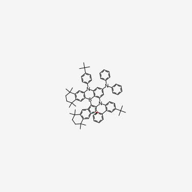 CC(C)(C)c1ccc(N2c3cc4c(cc3B3c5c2cc(N(c2ccccc2)c2ccccc2)cc5N(c2ccc(C(C)(C)C)cc2-c2ccccc2)c2sc5cc6c(cc5c23)C(C)(C)CCC6(C)C)C(C)(C)CCC4(C)C)cc1